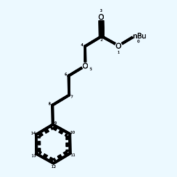 CCCCOC(=O)COCCCc1ccccc1